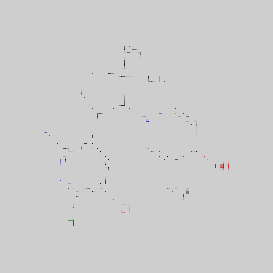 CCOC(=O)C1=CN(C2C(c3cc(O)c(Cl)nc3I)CCC2(C)C)C=CC1O